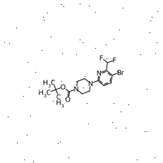 CC(C)(C)OC(=O)N1CCN(c2ccc(Br)c(C(F)F)n2)CC1